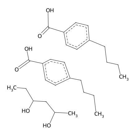 CCC(O)CC(C)O.CCCCc1ccc(C(=O)O)cc1.CCCCc1ccc(C(=O)O)cc1